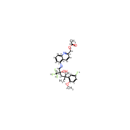 COc1ccc(F)cc1C(C)(C)CC(O)(/C=N/c1cccc2nc(COC(C)=O)ccc12)C(F)(F)F